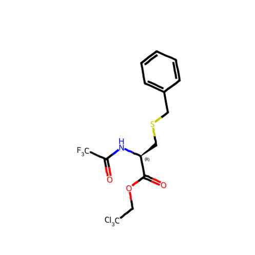 O=C(OCC(Cl)(Cl)Cl)[C@H](CSCc1ccccc1)NC(=O)C(F)(F)F